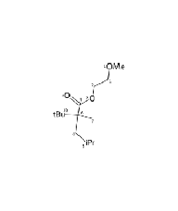 COCCOC(=O)C(C)(CC(C)C)C(C)(C)C